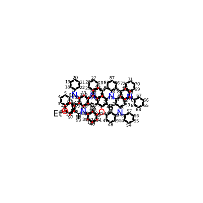 CCOc1ccccc1B(c1cc2c(cc1N(C)c1ccccc1)N(c1ccccc1)c1cc3c(c4c1B2c1ccccc1O4)B1c2ccccc2N(c2ccccc2)c2cc(N(c4ccccc4)c4ccccc4)cc(c21)N3c1c(-c2ccccc2)cccc1-c1ccccc1)[C@H](C)C(C)N(c1ccccc1)c1ccccc1-c1ccccc1